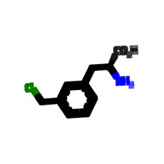 N[C@@H](Cc1cccc(CCl)c1)C(=O)O